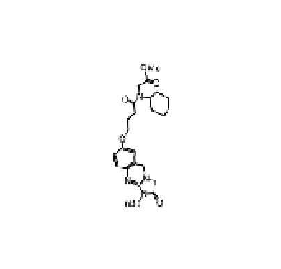 CCCCN1C(=O)CN2Cc3cc(OCCCC(=O)N(CC(=O)OC)C4CCCCC4)ccc3N=C21